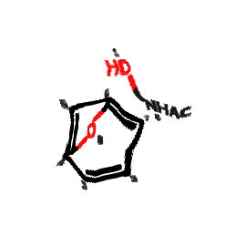 CC(=O)NO.c1cc2cc(c1)O2